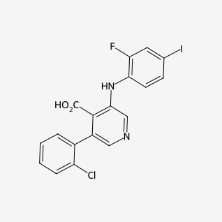 O=C(O)c1c(Nc2ccc(I)cc2F)cncc1-c1ccccc1Cl